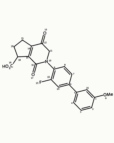 COc1cccc(-c2ccc(N3CC(=O)C4=C(C3=O)C(C(=O)O)CC4)c(F)c2)c1